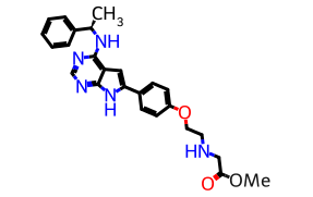 COC(=O)CNCCOc1ccc(-c2cc3c(N[C@H](C)c4ccccc4)ncnc3[nH]2)cc1